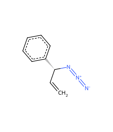 C=C[C@@H](N=[N+]=[N-])c1ccccc1